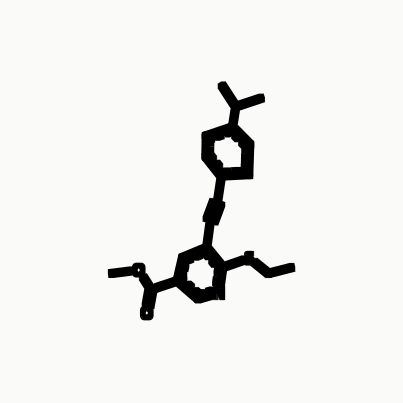 CCSc1ncc(C(=O)OC)cc1C#Cc1ccc(C(C)C)cc1